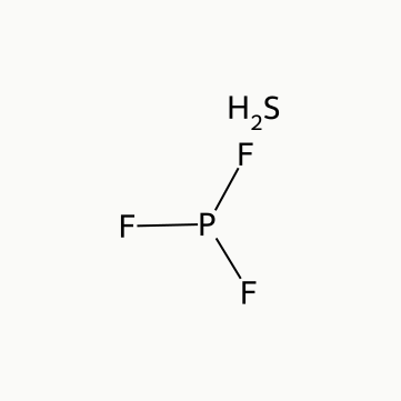 FP(F)F.S